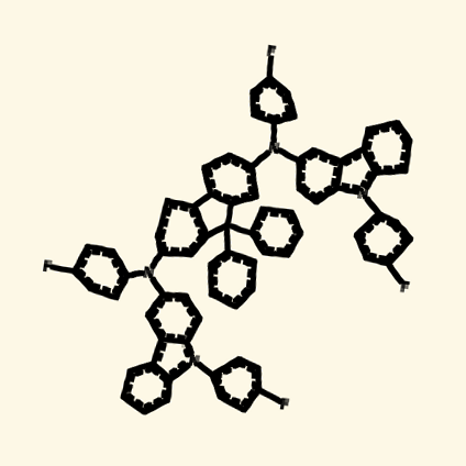 Fc1ccc(N(c2ccc3c(c2)C(c2ccccc2)(c2ccccc2)c2cc(N(c4ccc(F)cc4)c4ccc5c(c4)c4ccccc4n5-c4ccc(F)cc4)ccc2-3)c2ccc3c(c2)c2ccccc2n3-c2ccc(F)cc2)cc1